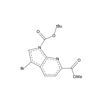 COC(=O)c1ccc2c(Br)cn(C(=O)OC(C)(C)C)c2n1